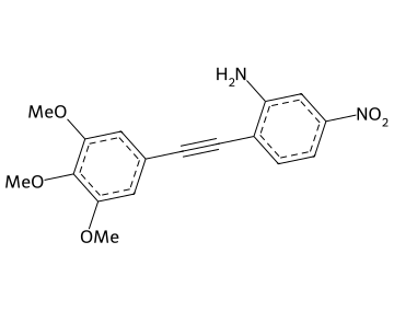 COc1cc(C#Cc2ccc([N+](=O)[O-])cc2N)cc(OC)c1OC